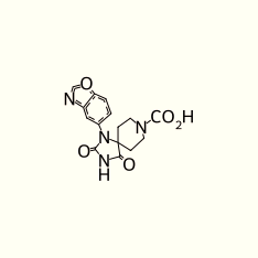 O=C(O)N1CCC2(CC1)C(=O)NC(=O)N2c1ccc2ocnc2c1